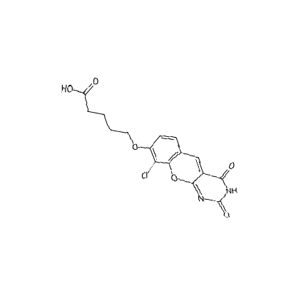 O=C(O)CCCCOc1ccc2cc3c(=O)[nH]c(=O)nc-3oc2c1Cl